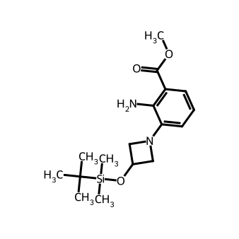 COC(=O)c1cccc(N2CC(O[Si](C)(C)C(C)(C)C)C2)c1N